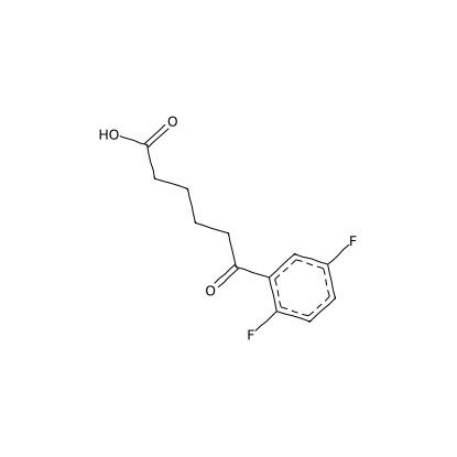 O=C(O)CCCCC(=O)c1cc(F)ccc1F